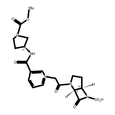 CC(C)(C)OC(=O)N1CC[C@H](NC(=O)c2ccc[n+](CC(=O)N3CC[C@@H]4[C@H]3C(=O)N4S(=O)(=O)O)c2)C1